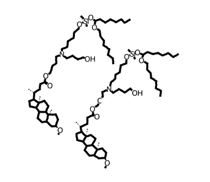 CCCCCCCCOC(CCCCCCC)O[Si](C)(C)OCCCCCCN(CCCCO)CCCCOC(=O)CC[C@@H](C)C1CCC2C3CCC4C[C@H](OC)CC[C@]4(C)C3CC[C@@]21C.CCCCCCCCOC(CCCCCCC)O[Si](C)(C)OCCCCCCN(CCCCO)CCCCOC(=O)CC[C@@H](C)C1CCC2C3CCC4C[C@H](OC)CC[C@]4(C)C3CC[C@@]21C